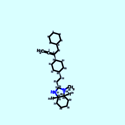 C=C=C(CC1CCCCC1)[C@H]1CC[C@@H](CC[C@H]2N[C@H]3CCCC[C@H]3N2C)CC1